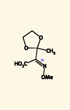 CO/N=C(\C(=O)O)C1(C)OCCO1